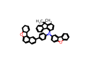 CC1(C)c2ccccc2-c2c(N(c3ccc(-c4ccc5ccc6c(c5c4)C4C=CCCC4O6)cc3)c3ccc4oc5ccccc5c4c3)cccc21